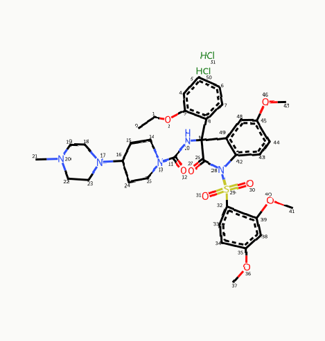 CCOc1ccccc1C1(NC(=O)N2CCC(N3CCN(C)CC3)CC2)C(=O)N(S(=O)(=O)c2ccc(OC)cc2OC)c2ccc(OC)cc21.Cl.Cl